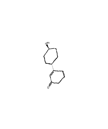 CCC[C@H]1CC[C@H](C2=CC(=O)CCC2)CC1